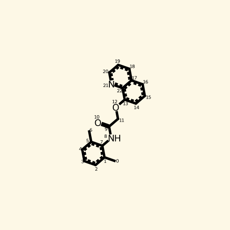 Cc1cccc(C)c1NC(=O)COc1cccc2cccnc12